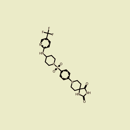 O=C1NC(=O)C2(CCN(c3ccc(S(=O)(=O)N4CCC(Nc5ccc(C(F)(F)F)cn5)CC4)cc3)CC2)N1